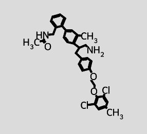 CC(=O)NCc1ccccc1-c1ccc(C(CN)Cc2ccc(OCCOc3c(Cl)cc(C)cc3Cl)cc2)c(C)c1